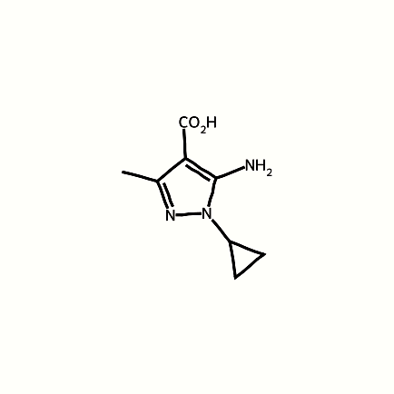 Cc1nn(C2CC2)c(N)c1C(=O)O